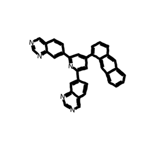 c1ccc2cc3c(-c4cc(-c5ccc6cncnc6c5)nc(-c5ccc6cncnc6c5)c4)cccc3cc2c1